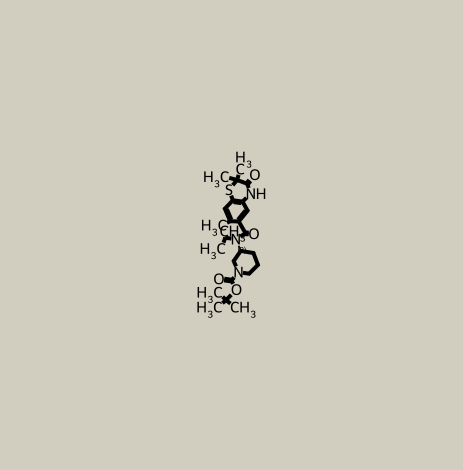 Cc1cc2c(cc1C(=O)N(C(C)C)[C@@H]1CCCN(C(=O)OC(C)(C)C)C1)NC(=O)C(C)(C)S2